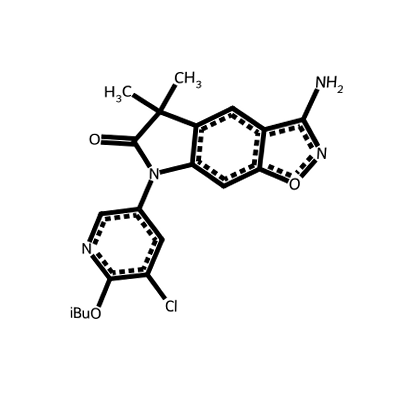 CC(C)COc1ncc(N2C(=O)C(C)(C)c3cc4c(N)noc4cc32)cc1Cl